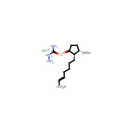 CCCCCCCC[C@H]1CCC(=O)[C@@H]1CCCCC=CC(=O)O.Cl.NNC(N)=O